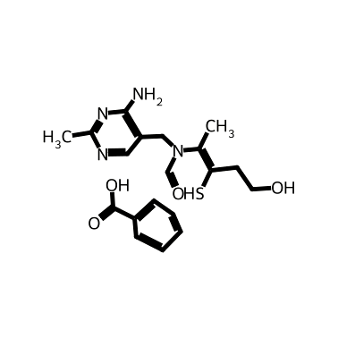 C/C(=C(/S)CCO)N(C=O)Cc1cnc(C)nc1N.O=C(O)c1ccccc1